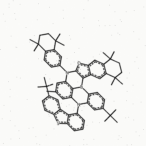 Cc1cc2c3c(c1)N(c1cccc4sc5ccc(C(C)(C)C)cc5c14)c1cc(C(C)(C)C)ccc1B3c1c(oc3cc4c(cc13)C(C)(C)CCC4(C)C)N2c1ccc2c(c1)C(C)(C)CCC2(C)C